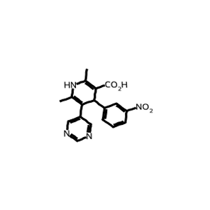 CC1=C(C(=O)O)C(c2cccc([N+](=O)[O-])c2)C(c2cncnc2)=C(C)N1